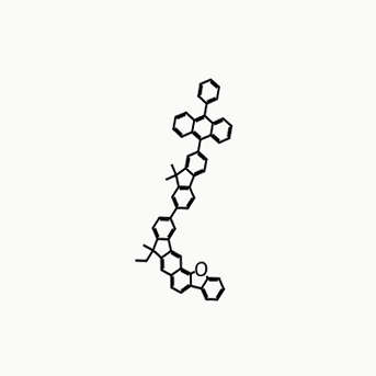 CCC1(C)c2ccc(-c3ccc4c(c3)C(C)(C)c3cc(-c5c6ccccc6c(-c6ccccc6)c6ccccc56)ccc3-4)cc2-c2cc3c(ccc4c5ccccc5oc34)cc21